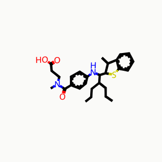 CCCC(CCC)C(Nc1ccc(C(=O)N(C)CCC(=O)O)cc1)C1Sc2ccccc2C1C